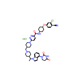 CC(C1CCN(CC2CCN(c3ccc(C(=O)NC4CCC(Oc5ccc(C#N)c(Cl)c5)CC4)nn3)CC2)CC1)n1ccc2c(N3CCC(=O)NC3=O)cccc21.Cl